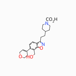 O=C(O)N1CCC(CCc2noc3c(CO)c(C4=CCOCC4)ccc23)CC1